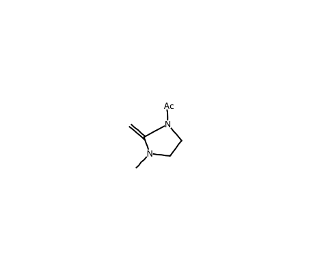 C=C1N(C)CCN1C(C)=O